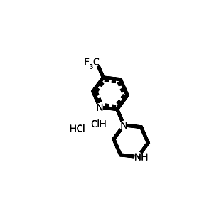 Cl.Cl.FC(F)(F)c1ccc(N2CCNCC2)nc1